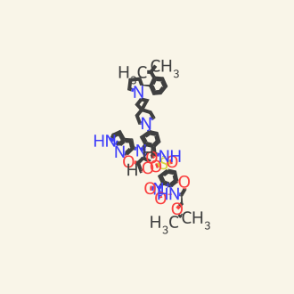 CC(C)OC[C@@H]1COc2cc(S(=O)(=O)NC(=O)c3ccc(N4CCC5(CC4)CC(N4CCC[C@H]4c4ccccc4C(C)C)C5)cc3N3c4cc5cc[nH]c5nc4O[C@@H]4COC[C@H]43)cc([N+](=O)[O-])c2N1